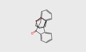 O=C1c2ccccc2C23c4ccccc4CC12Cc1ccccc13